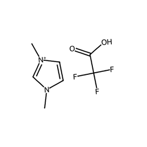 Cn1cc[n+](C)c1.O=C(O)C(F)(F)F